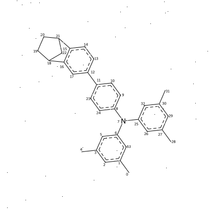 Cc1cc(C)cc(N(c2ccc(-c3ccc4c(c3)C3CCC4C3)cc2)c2cc(C)cc(C)c2)c1